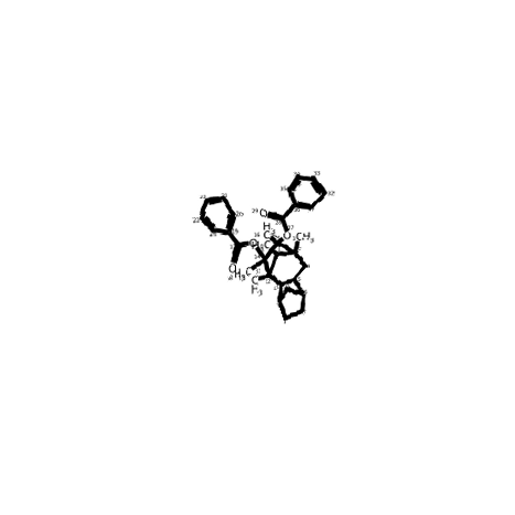 CC1C2(C)CC3C4CCC(C4)C3C1(C)C(C)(OC(=O)c1ccccc1)C2(C)OC(=O)c1ccccc1